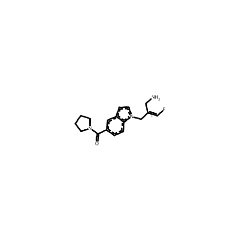 NC/C(=C\F)Cn1ccc2cc(C(=O)N3CCCC3)ccc21